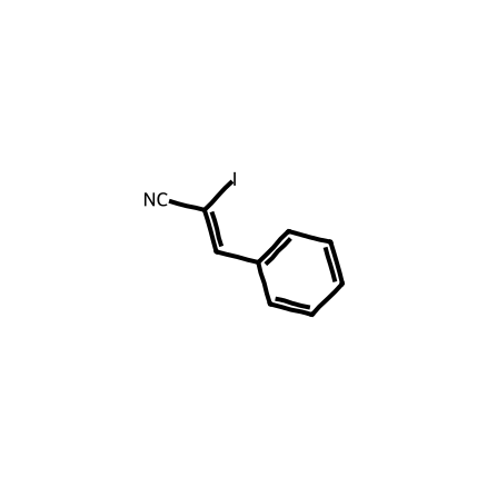 N#CC(I)=Cc1ccccc1